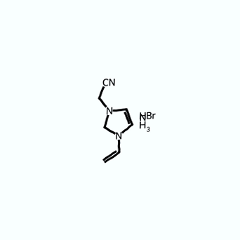 Br.C=CN1C=CN(CC#N)C1.N